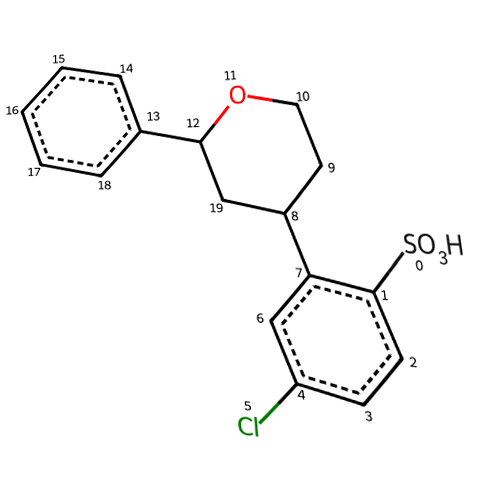 O=S(=O)(O)c1ccc(Cl)cc1C1CCOC(c2ccccc2)C1